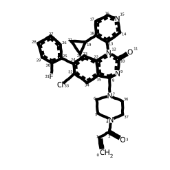 C=CC(=O)N1CCN(c2nc(=O)n(-c3cnccc3C3CC3)c3cc(-c4ccccc4F)c(Cl)cc23)CC1